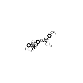 Cc1oc(-c2ccc(C(F)(F)F)cc2)nc1COc1cccc(CN(CC(=O)O)S(=O)(=O)N(C)c2ccccc2)c1